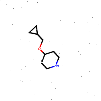 C1CC(OCC2CC2)CCN1